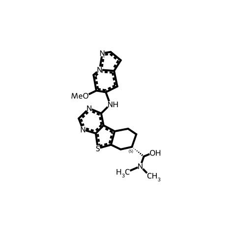 COc1cn2nccc2cc1Nc1ncnc2sc3c(c12)CC[C@H](C(O)N(C)C)C3